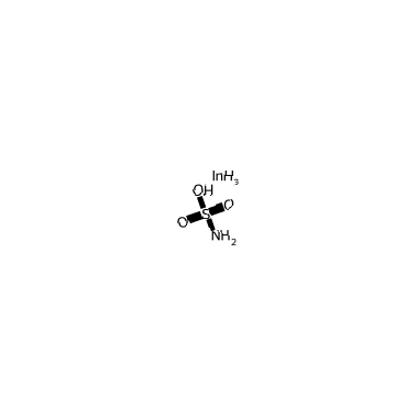 NS(=O)(=O)O.[InH3]